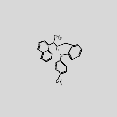 Cc1ccc(Sc2ccccc2CNC(C)c2cccc3ccccc23)cc1